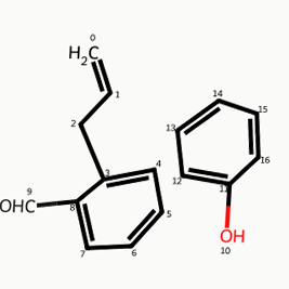 C=CCc1ccccc1C=O.Oc1ccccc1